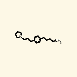 FC(F)(F)CCCCc1ccc(CCCN2CCCC2)cc1